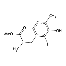 COC(=O)C(C)Cc1ccc(C)c(O)c1F